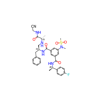 C[C@H](NC[C@H](Cc1ccccc1)NC(=O)c1cc(C(=O)N[C@H](C)c2ccc(F)cc2)cc(N(C)S(C)(=O)=O)c1)C(=O)NCC#N